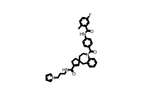 Cc1ccc(F)cc1C(=O)Nc1ccc(C(=O)N2CCC3(C=C(C(=O)NCCCn4cccc4)CC3)Cc3ccccc32)cc1